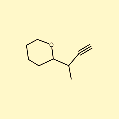 C#CC(C)C1CCCCO1